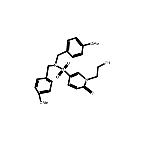 COc1ccc(CN(Cc2ccc(OC)cc2)S(=O)(=O)c2ccc(=O)n(CCO)c2)cc1